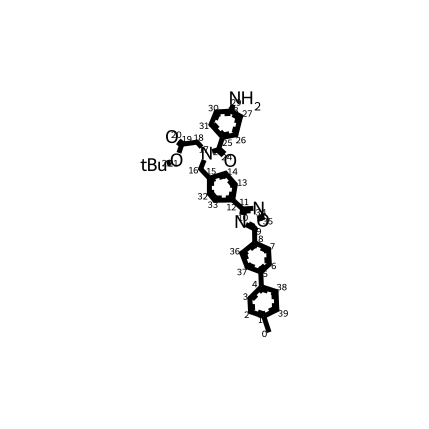 Cc1ccc(-c2ccc(-c3nc(-c4ccc(CN(CC(=O)OC(C)(C)C)C(=O)c5ccc(N)cc5)cc4)no3)cc2)cc1